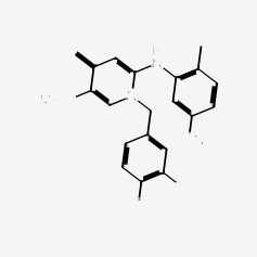 C=C1C=C(Nc2cc(C#N)ccc2C)N(Cc2ccc(F)c(Cl)c2)C=C1OC